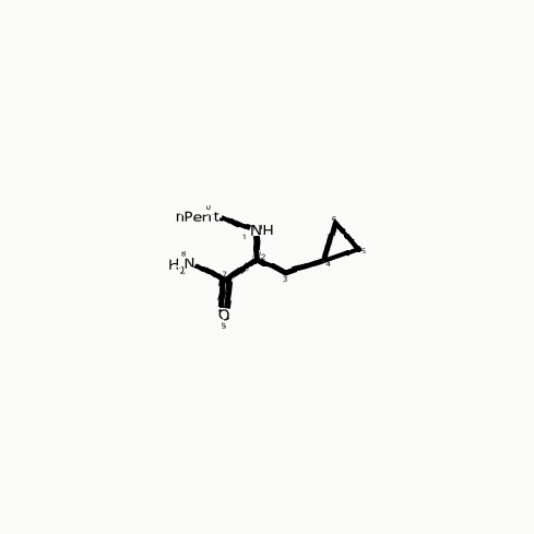 CCCCCNC(CC1CC1)C(N)=O